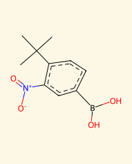 CC(C)(C)c1ccc(B(O)O)cc1[N+](=O)[O-]